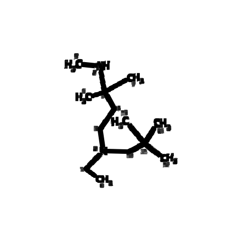 CCN(CCC(C)(C)NC)CC(C)(C)C